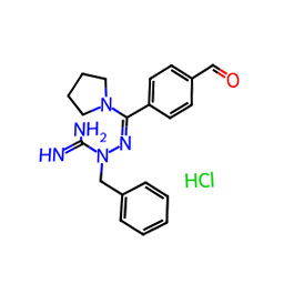 Cl.N=C(N)N(Cc1ccccc1)N=C(c1ccc(C=O)cc1)N1CCCC1